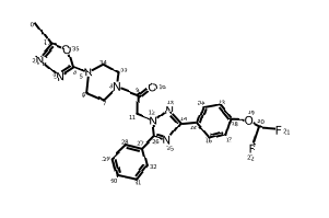 Cc1nnc(N2CCN(C(=O)Cn3nc(-c4ccc(OC(F)F)cc4)nc3-c3ccccc3)CC2)o1